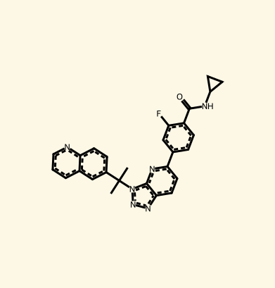 CC(C)(c1ccc2ncccc2c1)n1nnc2ccc(-c3ccc(C(=O)NC4CC4)c(F)c3)nc21